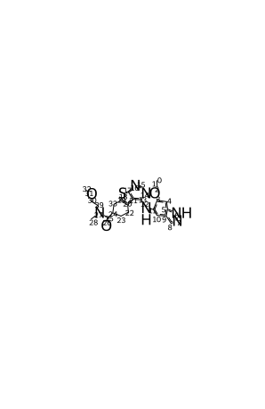 CCOc1cc2[nH]ncc2cc1Nc1ncnc2sc3c(c12)CCC(C(=O)N(C)CCOC)C3